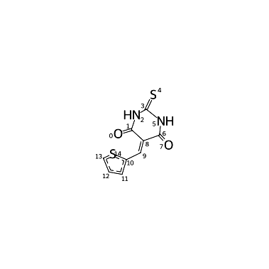 O=C1NC(=S)NC(=O)C1=Cc1cccs1